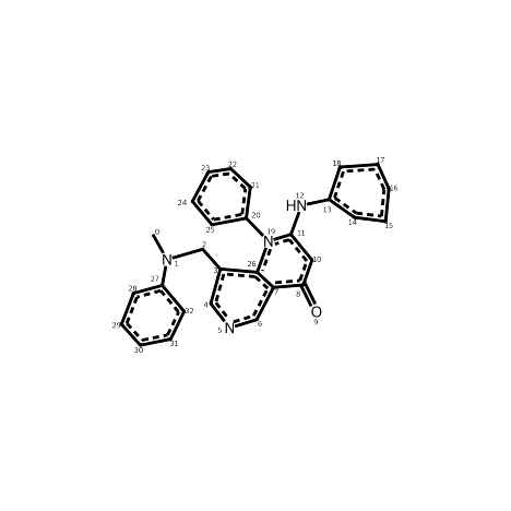 CN(Cc1cncc2c(=O)cc(Nc3ccccc3)n(-c3ccccc3)c12)c1ccccc1